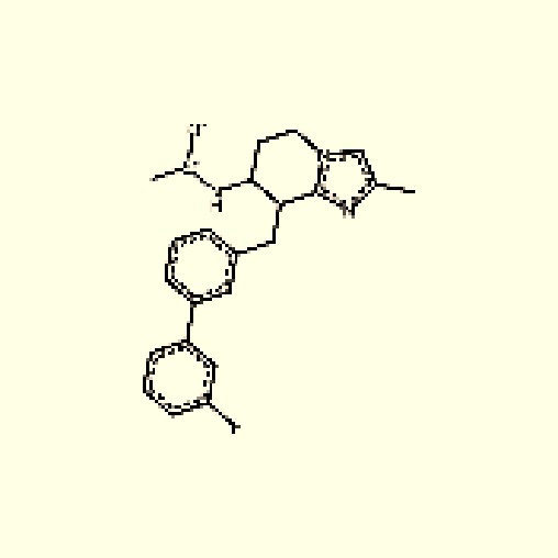 Cc1cn2c(n1)C(Cc1cccc(-c3cccc(F)c3)c1)C(N[S+](C)[O-])CC2